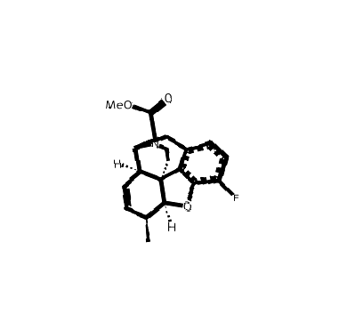 COC(=O)N1CC[C@]23c4c5ccc(F)c4O[C@H]2[C@@H](C)C=C[C@H]3C1C5